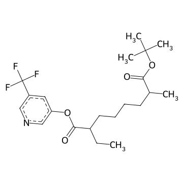 CCC(CCCCC(C)C(=O)OC(C)(C)C)C(=O)Oc1cncc(C(F)(F)F)c1